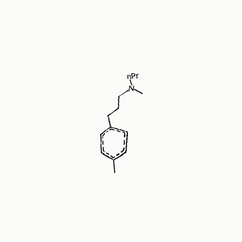 CCCN(C)CCCc1ccc(C)cc1